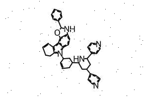 C1=Cc2c(n(C3C=CCC(C4CC(c5ccncc5)CC(c5ccncc5)N4)C3)c3ccc4c(c23)OC(c2ccccc2)N4)CC1